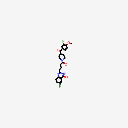 COc1ccc(C(=O)C2CCN(C(=O)CCCc3nc4ccc(F)cc4c(=O)[nH]3)CC2)cc1F